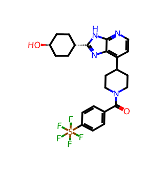 O=C(c1ccc(S(F)(F)(F)(F)F)cc1)N1CCC(c2ccnc3[nH]c([C@H]4CC[C@H](O)CC4)nc23)CC1